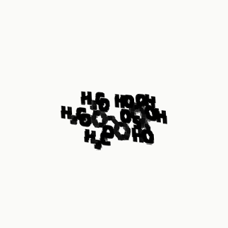 COc1cc(OC)c(Cc2ccccc2O[C@@H]2S[C@H](CO)[C@@H](O)[C@H](O)[C@H]2O)c(OC)c1